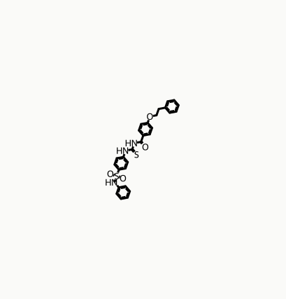 O=C(NC(=S)Nc1ccc(S(=O)(=O)Nc2ccccc2)cc1)c1ccc(OCCc2ccccc2)cc1